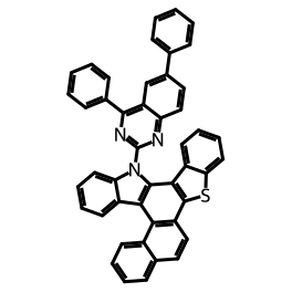 c1ccc(-c2ccc3nc(-n4c5ccccc5c5c6c7ccccc7ccc6c6sc7ccccc7c6c54)nc(-c4ccccc4)c3c2)cc1